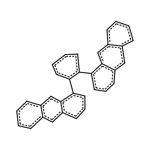 c1ccc(-c2cccc3cc4ccccc4cc23)c(-c2cccc3cc4ccccc4cc23)c1